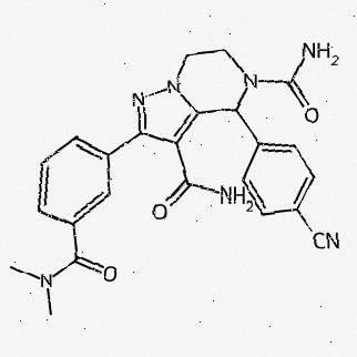 CN(C)C(=O)c1cccc(-c2nn3c(c2C(N)=O)C(c2ccc(C#N)cc2)N(C(N)=O)CC3)c1